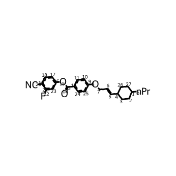 CCCC1CCC(/C=C/COc2ccc(C(=O)Oc3ccc(C#N)c(F)c3)cc2)CC1